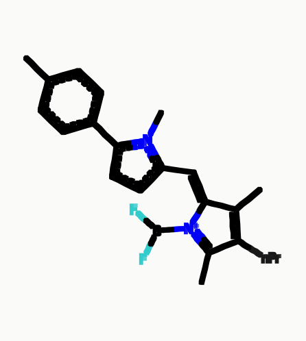 CCCC1=C(C)/C(=C/c2ccc(-c3ccc(C)cc3)n2C)[N+](B(F)F)=C1C